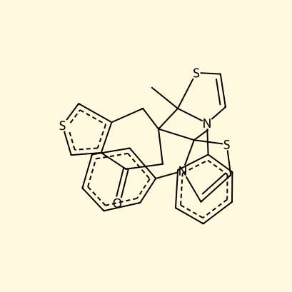 CC1(C2(C3(C)SC=CN3c3ccccc3)CC(=O)c3cscc3C2)SC=CN1c1ccccc1